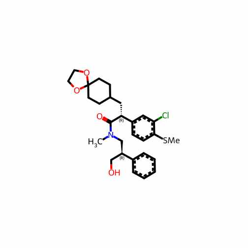 CSc1ccc([C@@H](CC2CCC3(CC2)OCCO3)C(=O)N(C)C[C@H](CO)c2ccccc2)cc1Cl